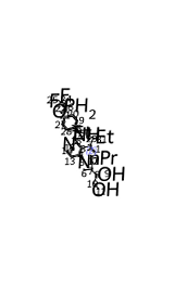 CCC/C=C(\c1c(N2CC(C(O)CO)C2)ccnc1Nc1ccc(OC(F)(F)P)cc1)C(CC)CC